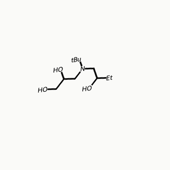 CCC(O)CN(CC(O)CO)C(C)(C)C